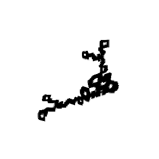 ClCCN(CCCl)CCCCOc1cccc(Nc2c3ccccc3nc3c(OCCN(CCCl)CCCl)cccc23)c1